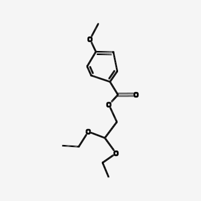 CCOC(COC(=O)c1ccc(OC)cc1)OCC